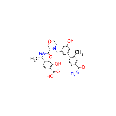 Cc1cc(C(N)=O)ccc1-c1cc(O)cc(CN2CCOC[C@@H]2C(=O)N[C@@H](C)c2ccc(C(=O)O)c(O)c2)c1